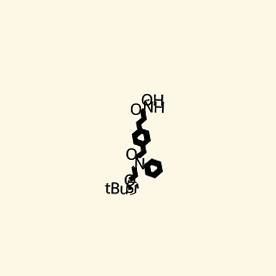 CC(C)(C)[Si](C)(C)OCCN(C(=O)Cc1ccc(CCC(=O)NO)cc1)c1ccccc1